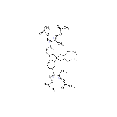 CCCCC1(CCCC)c2cc(C(=N/OC(C)=O)/C(C)=N/OC(C)=O)ccc2-c2ccc(C(=N/OC(C)=O)/C(C)=N/OC(C)=O)cc21